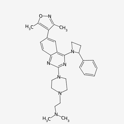 Cc1noc(C)c1-c1ccc2nc(N3CCN(CCN(C)C)CC3)nc(N3CCC3c3ccccc3)c2c1